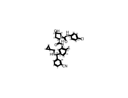 N#Cc1cccc([C@@H](NCC2CC2)c2ccc(F)c(NC(=O)[C@H]3C[C@@H](O)CN3C(=O)Nc3ccc(Cl)cc3)c2)c1